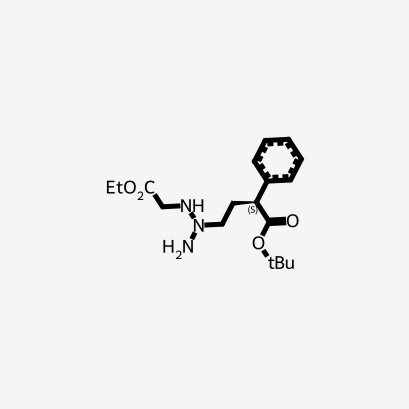 CCOC(=O)CNN(N)CC[C@H](C(=O)OC(C)(C)C)c1ccccc1